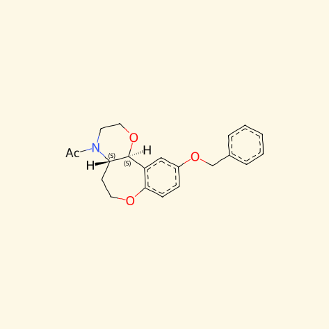 CC(=O)N1CCO[C@H]2c3cc(OCc4ccccc4)ccc3OCC[C@@H]21